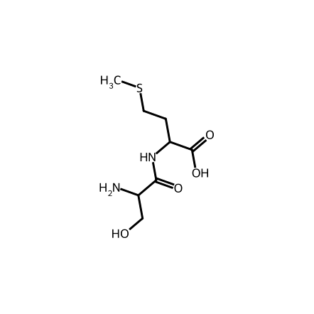 CSCCC(NC(=O)C(N)CO)C(=O)O